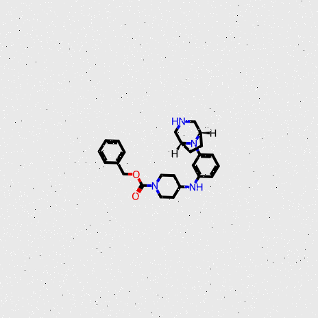 O=C(OCc1ccccc1)N1CCC(Nc2cccc(N3[C@@H]4CC[C@H]3CNC4)c2)CC1